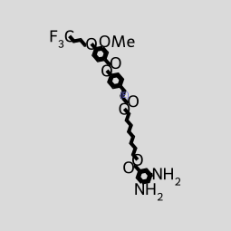 COc1cc(C(=O)Oc2ccc(/C=C/C(=O)OCCCCCCCCOC(=O)c3cc(N)cc(N)c3)cc2)ccc1OCCCC(F)(F)F